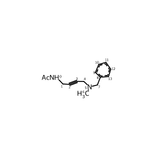 CC(=O)NCC#CCN(C)Cc1ccccc1